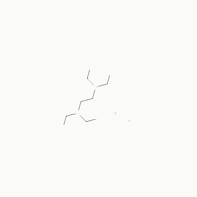 O=C(O)CN(CCN(CC(=O)O)CC(=O)O)CC(=O)O.[CaH2].[CaH2].[NaH]